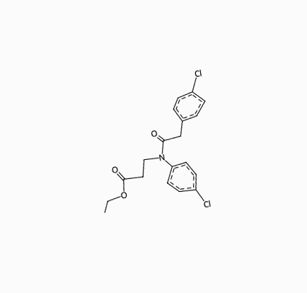 CCOC(=O)CCN(C(=O)Cc1ccc(Cl)cc1)c1ccc(Cl)cc1